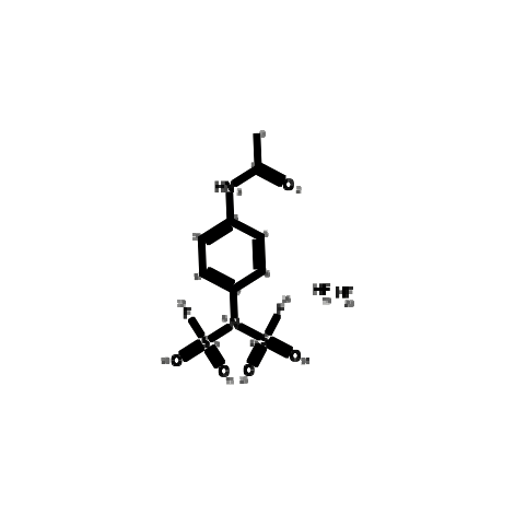 CC(=O)Nc1ccc(N(S(=O)(=O)F)S(=O)(=O)F)cc1.F.F